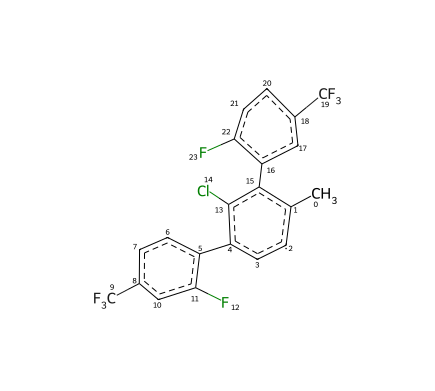 Cc1[c]cc(-c2ccc(C(F)(F)F)cc2F)c(Cl)c1-c1cc(C(F)(F)F)ccc1F